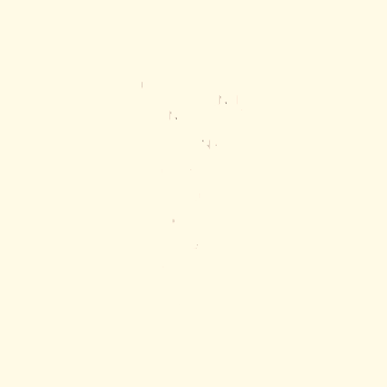 [CH2]CCNC(N)=NC(=O)OCc1ccccc1